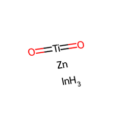 [InH3].[O]=[Ti]=[O].[Zn]